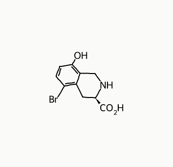 O=C(O)[C@H]1Cc2c(Br)ccc(O)c2CN1